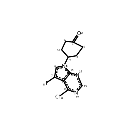 O=C1CCC(n2cc(I)c3c(Cl)ncnc32)CC1